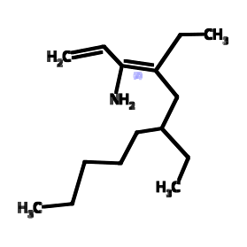 C=C/C(N)=C(\CC)CC(CC)CCCCC